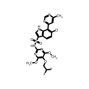 COc1nc(NS(=O)(=O)c2c[nH]c3c(-c4cc(C)ncn4)c(Cl)ccc23)nc(OC)c1OCC(F)F